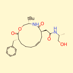 C[C@H](CO)NC(=O)C[C@H]1C/C=C\CCC[C@H](Cc2ccccc2)C(=O)OC[C@H](C(C)(C)C)NC1=O